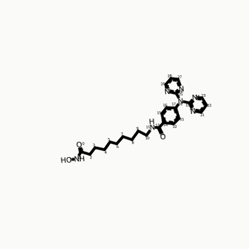 O=C(CCCCCCCCCNC(=O)c1ccc(N(c2ncccn2)c2ncccn2)cc1)NO